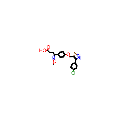 CO/N=C(/CCC(=O)O)c1ccc(OCc2snnc2-c2ccc(Cl)cc2)cc1